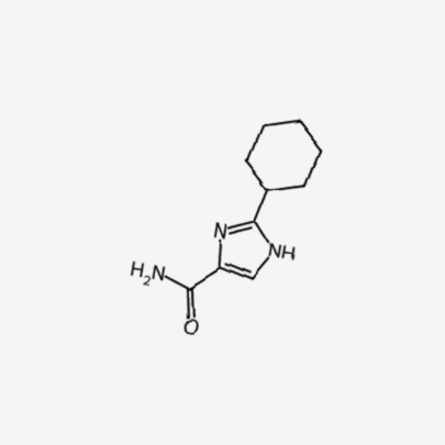 NC(=O)c1c[nH]c(C2CCCCC2)n1